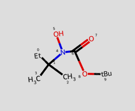 CCC(C)(C)N(O)C(=O)OC(C)(C)C